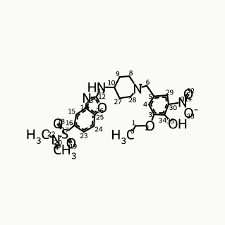 CCOc1cc(CN2CCC(Nc3nc4cc(S(=O)(=O)N(C)C)ccc4o3)CC2)cc([N+](=O)[O-])c1O